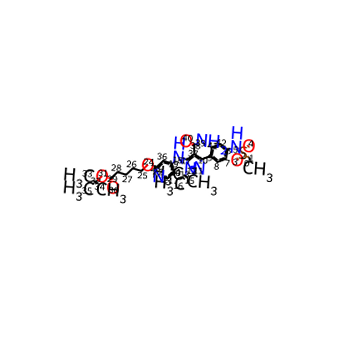 CCS(=O)(=O)Nc1ccc(-c2nn(C(C)(C)C)c(Nc3ccnc(OCCCCC(=O)OC(C)(C)C)c3)c2C(N)=O)cc1